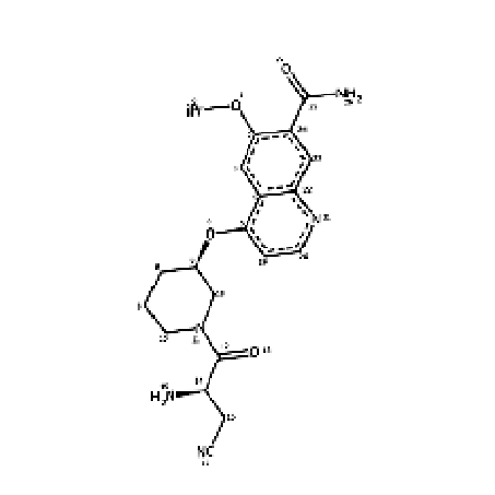 CC(C)Oc1cc2c(O[C@@H]3CCCN(C(=O)[C@H](N)CC#N)C3)ccnc2cc1C(N)=O